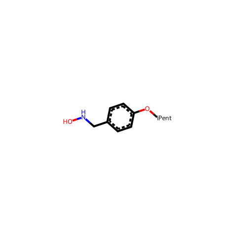 CCCC(C)Oc1ccc(CNO)cc1